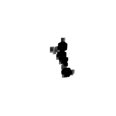 Fc1cncc(OCc2cn3cc(-c4ccc(F)cc4C(F)(F)F)cnc3n2)c1